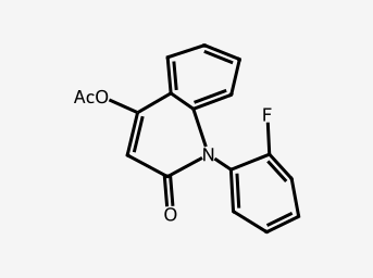 CC(=O)Oc1cc(=O)n(-c2ccccc2F)c2ccccc12